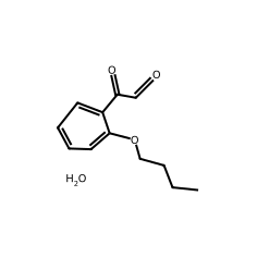 CCCCOc1ccccc1C(=O)C=O.O